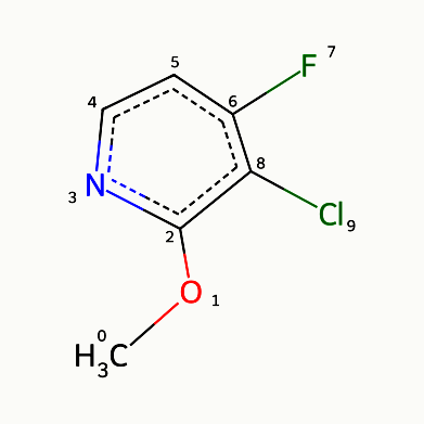 COc1nccc(F)c1Cl